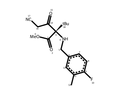 COC(=O)[C@@](NCc1ccc(F)c(C)c1)(C(=O)CC#N)C(C)(C)C